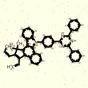 C=CC1=C(/C=C\C)C(C)(C)c2c1c1ccccc1c1c2c2ccccc2n1-c1ccc(-c2nc(-c3ccccc3)nc(-c3ccccc3)n2)cc1